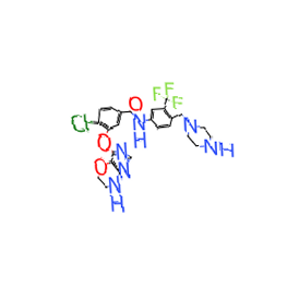 O=C(Nc1ccc(CN2CCNCC2)c(C(F)(F)F)c1)c1ccc(Cl)c(Oc2ncnc3c2OCCN3)c1